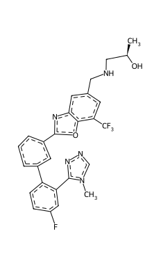 C[C@@H](O)CNCc1cc(C(F)(F)F)c2oc(-c3cccc(-c4ccc(F)cc4-c4nncn4C)c3)nc2c1